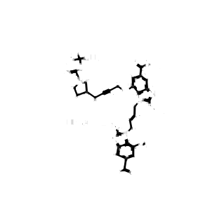 Br.Br.COc1cc(C(=O)O)cc2nc(N)n(C/C=C/Cn3c(N)nc4cc(C(N)=O)cc(OCC#CCC5CCN(C(=O)OC(C)(C)C)C5)c43)c12